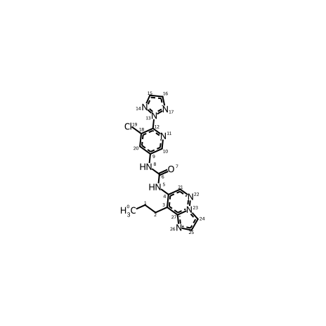 CCCc1c(NC(=O)Nc2cnc(-n3nccn3)c(Cl)c2)cnn2ccnc12